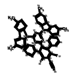 Cc1ccc2c(c1)c1cc(C)ccc1n2-c1nc(-c2c(-c3ccccc3)c(F)c(C#N)c(F)c2-c2ccccc2)nc(-n2c3ccc(C)cc3c3cc(C)ccc32)n1